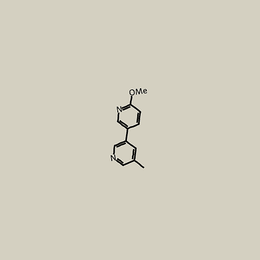 COc1ccc(-c2cncc(C)c2)cn1